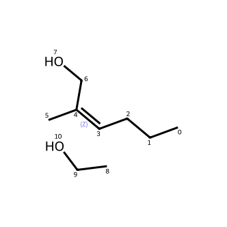 CCC/C=C(/C)CO.CCO